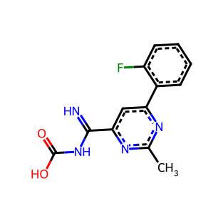 Cc1nc(C(=N)NC(=O)O)cc(-c2ccccc2F)n1